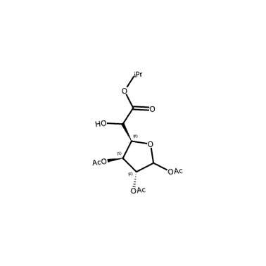 CC(=O)OC1O[C@H](C(O)C(=O)OC(C)C)[C@H](OC(C)=O)[C@H]1OC(C)=O